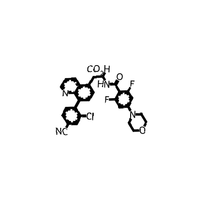 N#Cc1ccc(-c2ccc(CC(NC(=O)c3c(F)cc(N4CCOCC4)cc3F)C(=O)O)c3cccnc23)c(Cl)c1